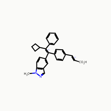 Cn1ncc2cc(/C(=C(/c3ccccc3)C3CCC3)c3ccc(/C=C/C(=O)O)cc3)ccc21